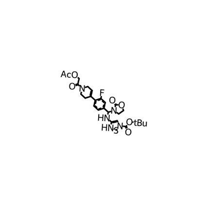 CC(=O)OCC(=O)N1CC=C(c2ccc(C(NC3=CN(C(=O)OC(C)(C)C)SN3)N3CCOC3=O)cc2F)CC1